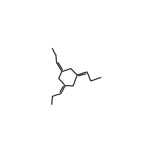 CCC=C1CC(=CCC)CC(=CCC)C1